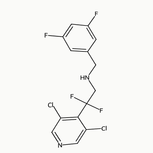 Fc1cc(F)cc(CNCC(F)(F)c2c(Cl)cncc2Cl)c1